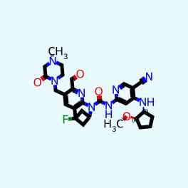 CO[C@@H]1CCC[C@H]1Nc1cc(NC(=O)N2c3nc(C=O)c(CN4CCN(C)CC4=O)cc3C3(F)CC2C3)ncc1C#N